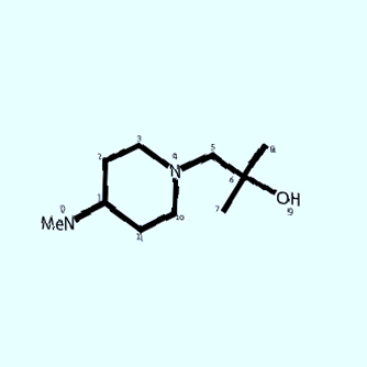 CNC1CCN(CC(C)(C)O)CC1